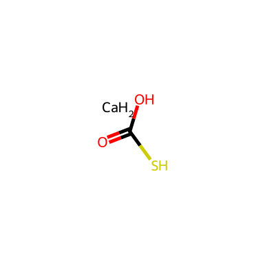 O=C(O)S.[CaH2]